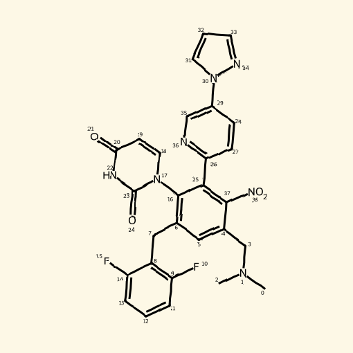 CN(C)Cc1[c]c(Cc2c(F)cccc2F)c(-n2ccc(=O)[nH]c2=O)c(-c2ccc(-n3cccn3)cn2)c1[N+](=O)[O-]